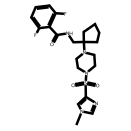 Cn1cnc(S(=O)(=O)N2CCN(C3(CNC(=O)c4c(F)cccc4F)CCCC3)CC2)c1